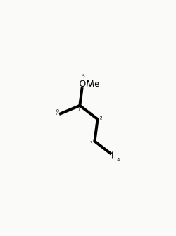 [CH2]C(CCI)OC